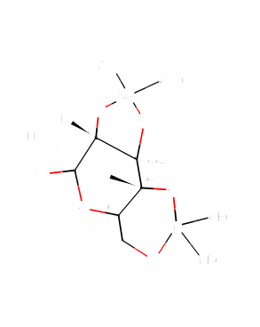 CCC[CH2][Sn]1([CH2]CCC)[O]C[C@H]2O[C@@](C)(O)[C@@H]3[O][Sn]([CH2]CCC)([CH2]CCC)[O][C@H]3[C@@H]2[O]1